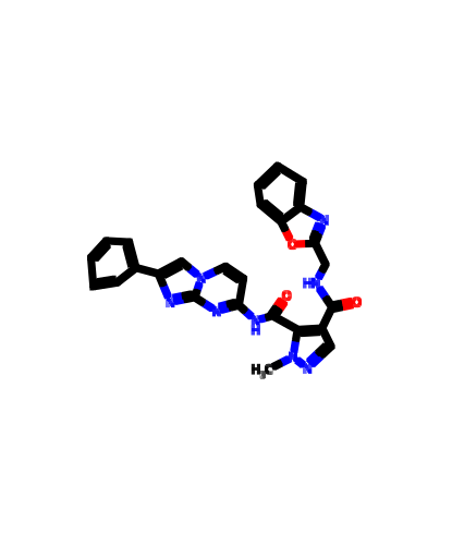 Cn1ncc(C(=O)NCc2nc3ccccc3o2)c1C(=O)Nc1ccn2cc(-c3ccccc3)nc2n1